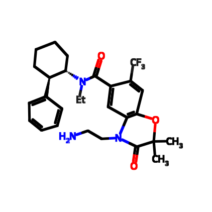 CCN(C(=O)c1cc2c(cc1C(F)(F)F)OC(C)(C)C(=O)N2CCN)[C@H]1CCCC[C@@H]1c1ccccc1